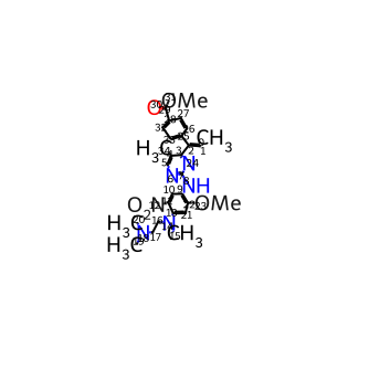 C/C=C(/c1ccnc(Nc2cc([N+](=O)[O-])c(N(C)CCN(C)C)cc2OC)n1)c1ccc(C(=O)OC)cc1C